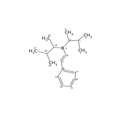 CC(C)C(C)B(/C=C/c1ccccc1)C(C)C(C)C